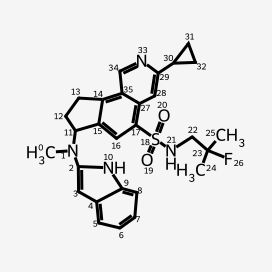 CN(c1cc2ccccc2[nH]1)C1CCc2c1cc(S(=O)(=O)NCC(C)(C)F)c1cc(C3CC3)ncc21